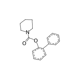 O=C(Oc1ccccc1-c1ccccc1)N1CCCCC1